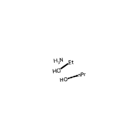 CCCO.CCO.N